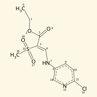 CCOC(=O)C(=CNc1ccc(Cl)nc1)S(C)(=O)=O